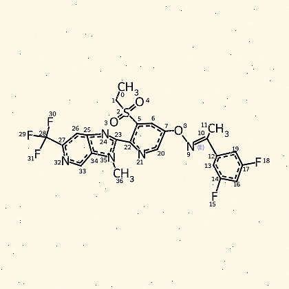 CCS(=O)(=O)c1cc(O/N=C(\C)c2cc(F)cc(F)c2)cnc1-c1nc2cc(C(F)(F)F)ncc2n1C